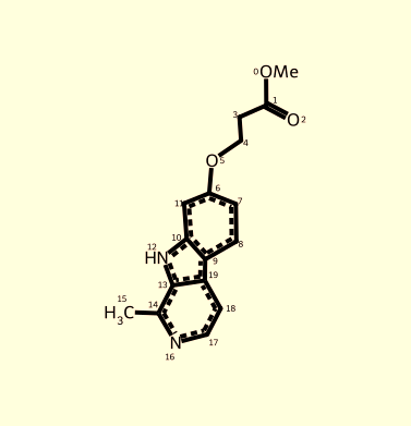 COC(=O)CCOc1ccc2c(c1)[nH]c1c(C)nccc12